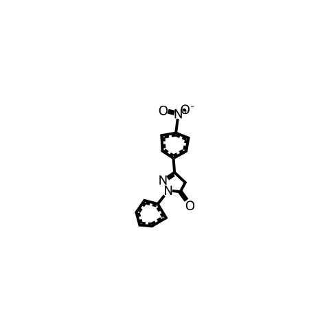 O=C1CC(c2ccc([N+](=O)[O-])cc2)=NN1c1ccccc1